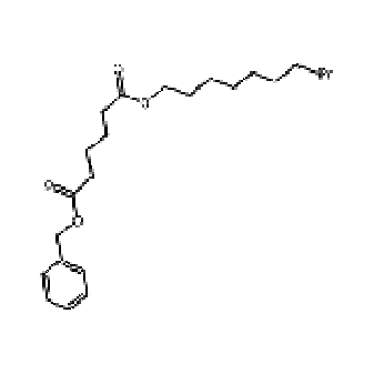 CC(C)CCCCCCCOC(=O)CCCCC(=O)OCc1ccccc1